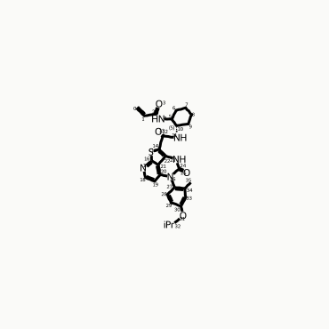 C=CC(=O)NC1CCCC[C@@H]1NC(=O)c1sc2nccc3c2c1NC(=O)N3c1ccc(OC(C)C)cc1C